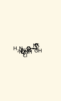 CC(O)(C#Cc1cccc(Nc2nc(N)ncc2Cl)n1)c1nccs1